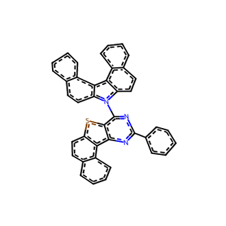 c1ccc(-c2nc(-n3c4ccc5ccccc5c4c4c5ccccc5ccc43)c3sc4ccc5ccccc5c4c3n2)cc1